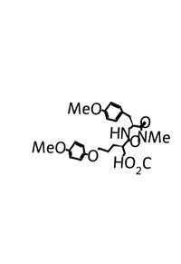 CNC(=O)[C@H](Cc1ccc(OC)cc1)NC(=O)[C@H](CCCOc1ccc(OC)cc1)CC(=O)O